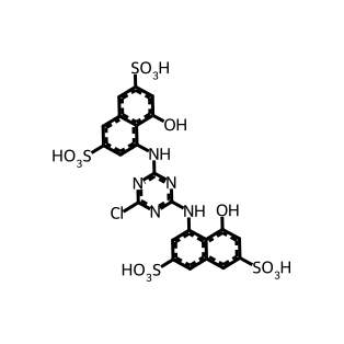 O=S(=O)(O)c1cc(O)c2c(Nc3nc(Cl)nc(Nc4cc(S(=O)(=O)O)cc5cc(S(=O)(=O)O)cc(O)c45)n3)cc(S(=O)(=O)O)cc2c1